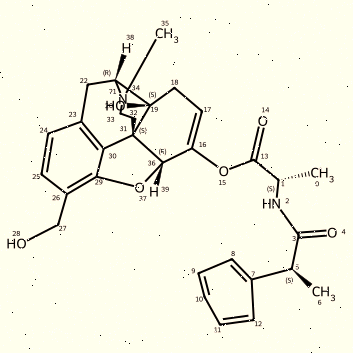 C[C@H](NC(=O)[C@@H](C)c1ccccc1)C(=O)OC1=CC[C@@]2(O)[C@H]3Cc4ccc(CO)c5c4[C@@]2(CCN3C)[C@H]1O5